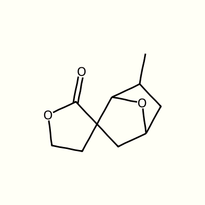 CC1CC2CC3(CCOC3=O)C1O2